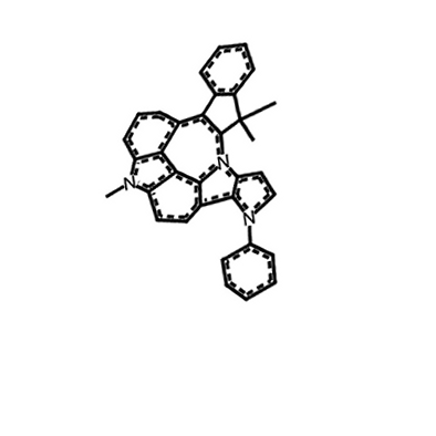 Cn1c2cccc3c4c(n5c6ccn(-c7ccccc7)c6c6ccc1c(c32)c65)C(C)(C)c1ccccc1-4